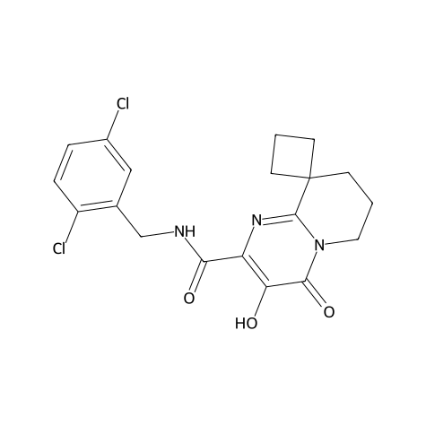 O=C(NCc1cc(Cl)ccc1Cl)c1nc2n(c(=O)c1O)CCCC21CCC1